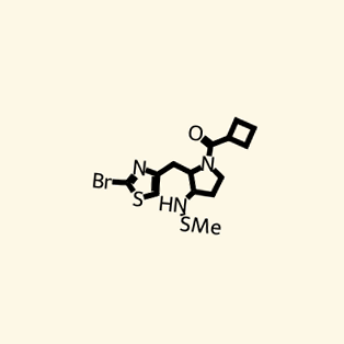 CSNC1CCN(C(=O)C2CCC2)C1Cc1csc(Br)n1